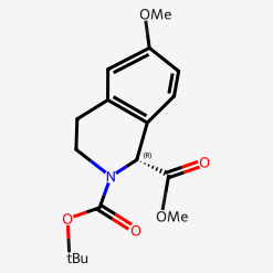 COC(=O)[C@H]1c2ccc(OC)cc2CCN1C(=O)OC(C)(C)C